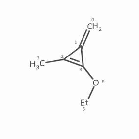 C=C1C(C)=C1OCC